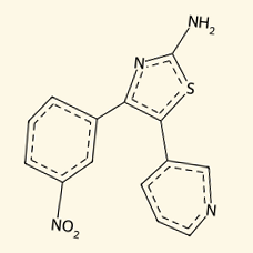 Nc1nc(-c2cccc([N+](=O)[O-])c2)c(-c2cccnc2)s1